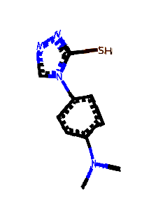 CN(C)c1ccc(-n2cnnc2S)cc1